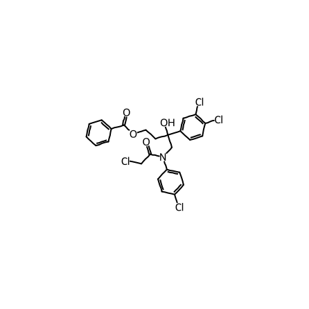 O=C(OCCC(O)(CN(C(=O)CCl)c1ccc(Cl)cc1)c1ccc(Cl)c(Cl)c1)c1ccccc1